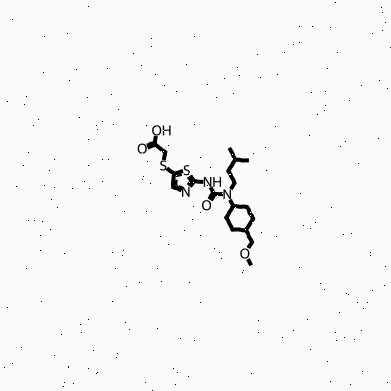 COCC1CCC(N(CCC(C)C)C(=O)Nc2ncc(SCC(=O)O)s2)CC1